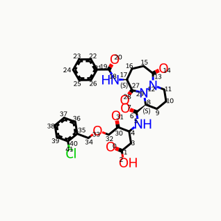 O=C(O)CC(NC(=O)[C@@H]1CCCN2C(=O)CC[C@H](NC(=O)c3ccccc3)C(=O)N12)C(=O)COCc1ccccc1Cl